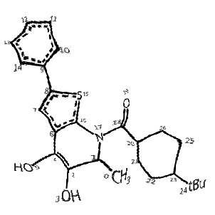 CC1C(O)=C(O)c2cc(-c3ccccc3)sc2N1C(=O)C1CCC(C(C)(C)C)CC1